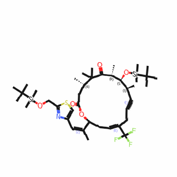 C/C(=C/c1csc(CO[Si](C)(C)C(C)(C)C)n1)C1C/C=C(/C(F)(F)F)C/C=C/[C@H](C)[C@H](O[Si](C)(C)C(C)(C)C)[C@@H](C)C(=O)C(C)(C)[C@@H](C)CC(=O)O1